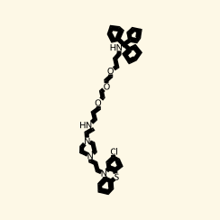 Clc1ccc2c(c1)N(CCCN1CCN(CCNCCCOCCOCCOCCCNC(c3ccccc3)(c3ccccc3)c3ccccc3)CC1)c1ccccc1S2